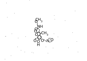 COCCNC(=O)Cc1c(C)c2cc(OCCN3CCOCC3)c(O)c(C=O)c2oc1=O